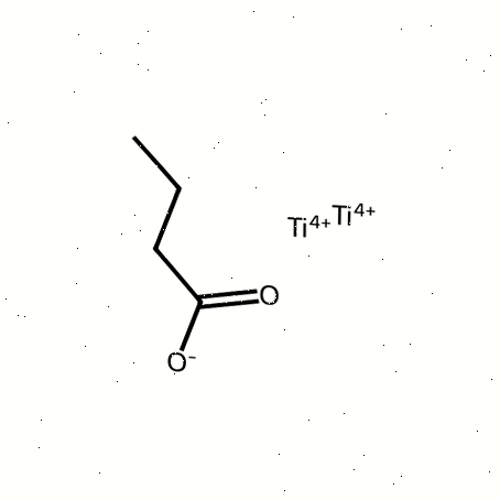 CCCC(=O)[O-].[Ti+4].[Ti+4]